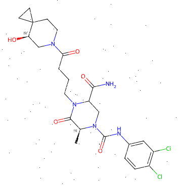 C[C@H]1C(=O)N(CCCC(=O)N2CCC3(CC3)[C@H](O)C2)C(C(N)=O)CN1C(=O)Nc1ccc(Cl)c(Cl)c1